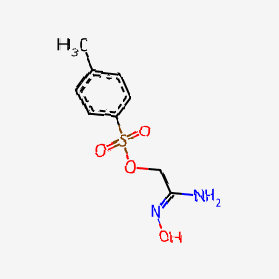 Cc1ccc(S(=O)(=O)OCC(N)=NO)cc1